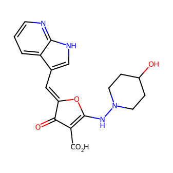 O=C(O)C1=C(NN2CCC(O)CC2)OC(=Cc2c[nH]c3ncccc23)C1=O